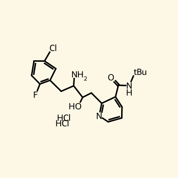 CC(C)(C)NC(=O)c1cccnc1CC(O)C(N)Cc1cc(Cl)ccc1F.Cl.Cl